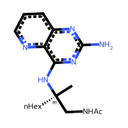 CCCCCC[C@](C)(CNC(C)=O)Nc1nc(N)nc2cccnc12